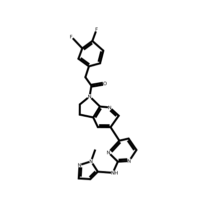 Cn1nccc1Nc1nccc(-c2cnc3c(c2)CCN3C(=O)Cc2ccc(F)c(F)c2)n1